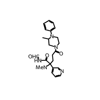 CNC(CCC(=O)N1CCN(c2ccccc2)C(C)C1)(C(=O)NC=O)c1cccnc1